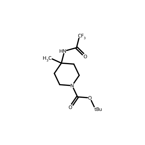 CC1(NC(=O)C(F)(F)F)CCN(C(=O)OC(C)(C)C)CC1